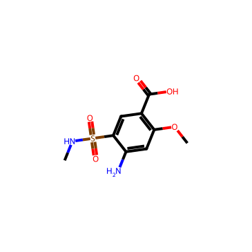 CNS(=O)(=O)c1cc(C(=O)O)c(OC)cc1N